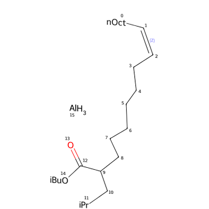 CCCCCCCC/C=C\CCCCCCC(CC(C)C)C(=O)OCC(C)C.[AlH3]